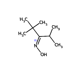 CC(C)/C(=N\O)C(C)(C)C